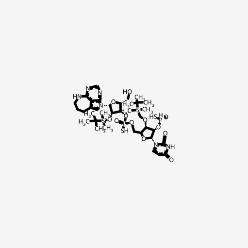 CC(C)(C)[Si](C)(C)CO[C@@H]1C(COP(=O)(S)O[C@H]2[C@@H](O[Si](C)(C)C(C)(C)C)[C@H](n3cc4c5c(ncnc53)NCCC4)O[C@@H]2CO)O[C@@H](n2ccc(=O)[nH]c2=O)[C@@H]1O[PH](=O)S